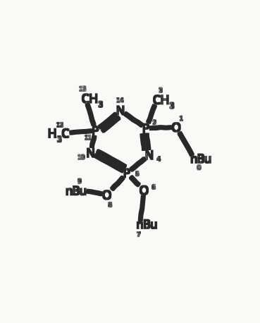 CCCCOP1(C)=NP(OCCCC)(OCCCC)=NP(C)(C)=N1